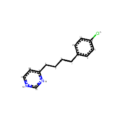 Clc1ccc(CCCCc2ccncn2)cc1